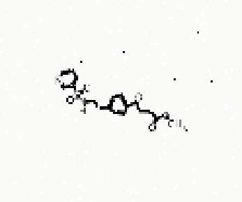 COC(=O)CCC(=O)c1ccc(CCNS(=O)(=O)c2cccnc2)cc1